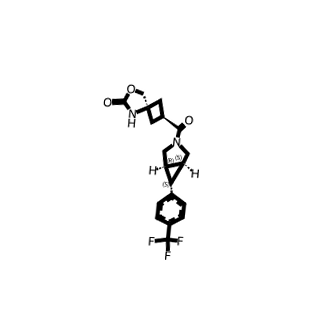 O=C1N[C@]2(CO1)C[C@H](C(=O)N1C[C@@H]3[C@H](C1)[C@H]3c1ccc(C(F)(F)F)cc1)C2